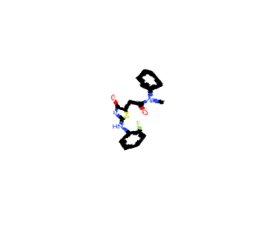 CN(C(=O)CC1SC(Nc2ccccc2F)=NC1=O)c1ccccc1